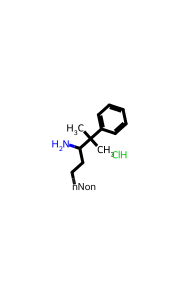 CCCCCCCCCCCC(N)C(C)(C)c1ccccc1.Cl